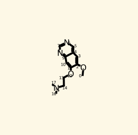 COc1cc2cncnc2cc1OCCN(C)C